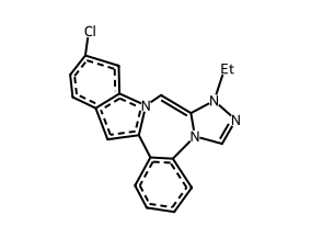 CCN1N=CN2C1=Cn1c(cc3ccc(Cl)cc31)-c1ccccc12